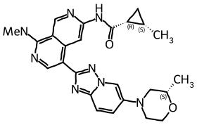 CNc1ncc(-c2nc3ccc(N4CCO[C@@H](C)C4)cn3n2)c2cc(NC(=O)[C@@H]3C[C@@H]3C)ncc12